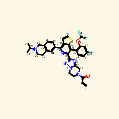 C=CC(=O)N1CCn2nc(-c3nc(-c4ccc5c(c4)CCN(C(C)C)C5)c4ccsc4c3-c3ccc(F)cc3OC(F)F)nc2C1